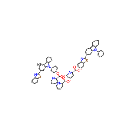 O=C([O-])c1ccccn1.O=C([O-])c1ccccn1.O=C([O-])c1ccccn1.[Ir+3].c1ccc(-n2c3ccccc3c3ccc(-c4nc5ccccc5s4)cc32)cc1.c1ccc(-n2c3ccccc3c3ccc(-c4nc5ccccc5s4)cc32)cc1